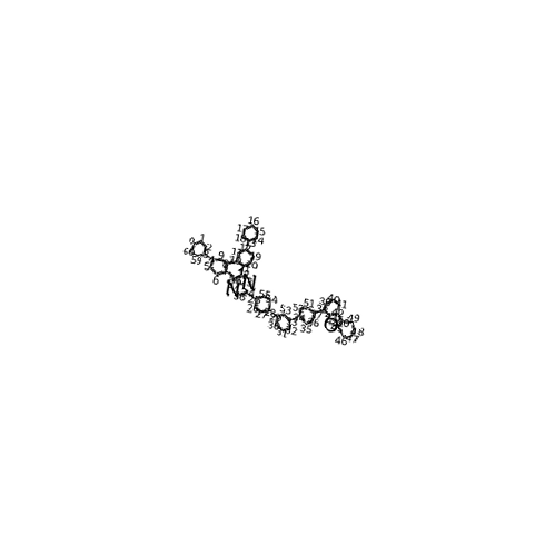 c1ccc(-c2ccc3c(c2)c2cc(-c4ccccc4)ccc2c2nc(-c4ccc(-c5cccc(-c6ccc(-c7cccc8c7oc7ccccc78)cc6)c5)cc4)cnc32)cc1